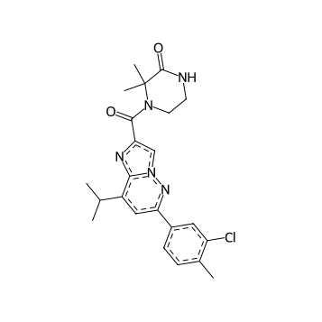 Cc1ccc(-c2cc(C(C)C)c3nc(C(=O)N4CCNC(=O)C4(C)C)cn3n2)cc1Cl